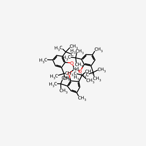 Cc1cc(C(C)(C)C)c([O][Nd]([O]c2c(C(C)(C)C)cc(C)cc2C(C)(C)C)[O]c2c(C(C)(C)C)cc(C)cc2C(C)(C)C)c(C(C)(C)C)c1